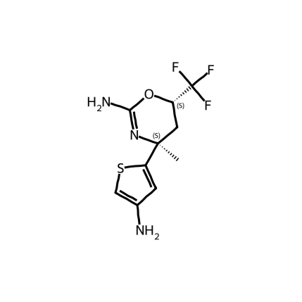 C[C@@]1(c2cc(N)cs2)C[C@@H](C(F)(F)F)OC(N)=N1